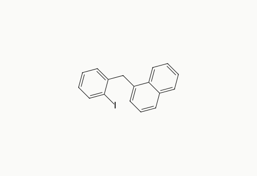 Ic1ccccc1Cc1cccc2ccccc12